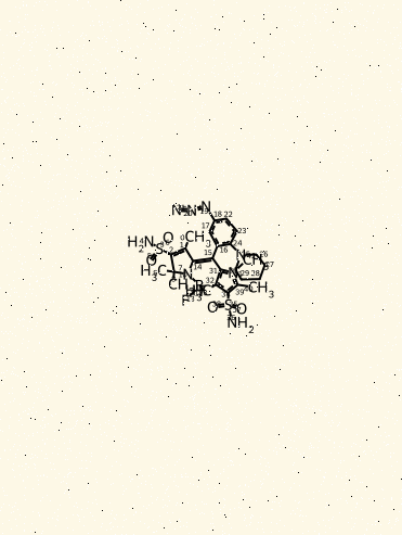 CC1=C(S(N)(=O)=O)C(C)(C)N(B(F)F)/C1=C(/c1cc(N=[N+]=[N-])ccc1N1CCCCC1)c1c(C)c(S(N)(=O)=O)c(C)n1C